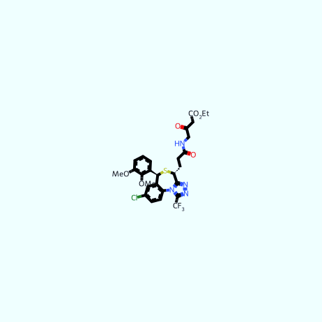 CCOC(=O)CC(=O)CNC(=O)CC[C@H]1S[C@H](c2cccc(OC)c2OC)c2cc(Cl)ccc2-n2c1nnc2C(F)(F)F